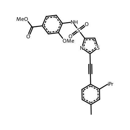 COC(=O)c1ccc(NS(=O)(=O)c2csc(C#Cc3ccc(C)cc3C(C)C)n2)c(OC)c1